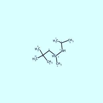 CC(C)N[SiH](C)CC(C)(C)C